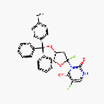 COc1ccc(C(OC2COC(F)(n3c(=O)[nH]cc(F)c3=O)C2)(c2ccccc2)c2ccccc2)cc1